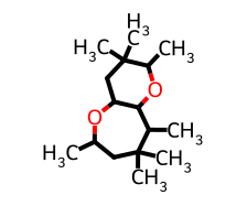 CC1CC(C)(C)C(C)C2OC(C)C(C)(C)CC2O1